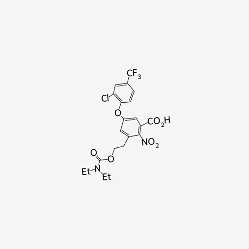 CCN(CC)C(=O)OCCc1cc(Oc2ccc(C(F)(F)F)cc2Cl)cc(C(=O)O)c1[N+](=O)[O-]